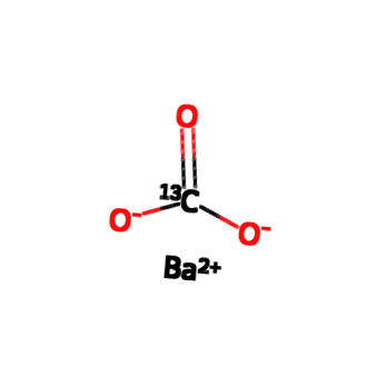 O=[13C]([O-])[O-].[Ba+2]